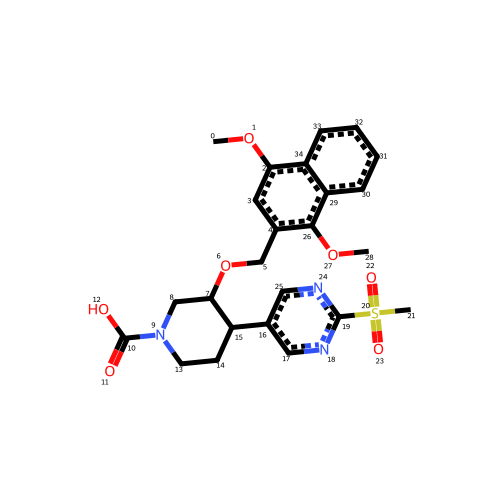 COc1cc(COC2CN(C(=O)O)CCC2c2cnc(S(C)(=O)=O)nc2)c(OC)c2ccccc12